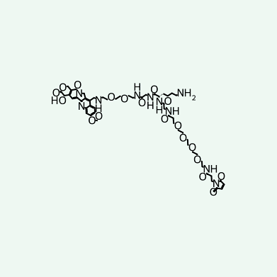 NCCCC[C@H](NC(=O)CNC(=O)CCOCCOCCOCCOCCNC(=O)CCN1C(=O)C=CC1=O)C(=O)NCC(=O)NCCOCCOCCNCc1c2c(nc3cc4c(cc13)OCO4)-c1cc3c(c(=O)n1C2)COC(=O)[C@H]3O